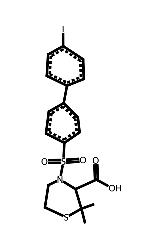 CC1(C)SCCN(S(=O)(=O)c2ccc(-c3ccc(I)cc3)cc2)C1C(=O)O